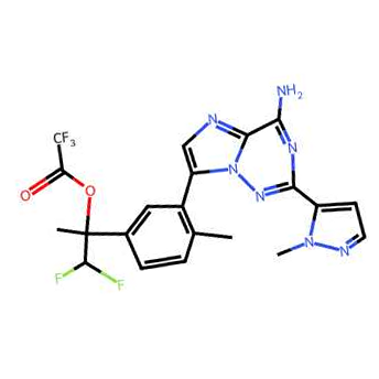 Cc1ccc(C(C)(OC(=O)C(F)(F)F)C(F)F)cc1-c1cnc2c(N)nc(-c3ccnn3C)nn12